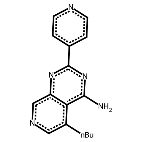 CCCCc1cncc2nc(-c3ccncc3)nc(N)c12